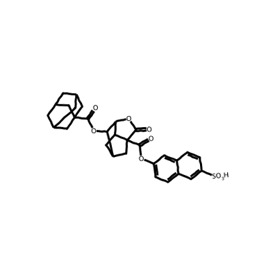 O=C(OC1C2CC3C1OC(=O)C3(C(=O)Oc1ccc3cc(S(=O)(=O)O)ccc3c1)C2)C12CC3CC(CC(C3)C1)C2